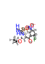 CC(C)(C)[Si](C)(C)OCCC(CNC(=N)S)C(=O)c1cc([N+](=O)[O-])ccc1F